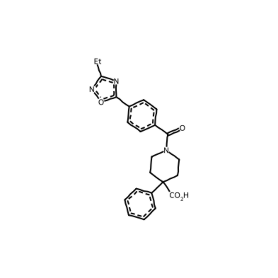 CCc1noc(-c2ccc(C(=O)N3CCC(C(=O)O)(c4ccccc4)CC3)cc2)n1